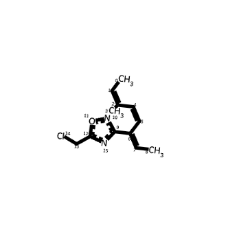 C\C=C(C)/C=C\C(=C/C)c1noc(CCl)n1